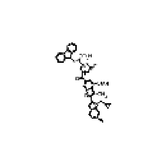 COc1cc(C(=O)N2C[C@H](F)C[C@@H](N(CC3c4ccccc4-c4ccccc43)C(=O)O)C2)cn2nc(-c3cc4ccc(Br)cc4n3CC3CC3)c(C)c12